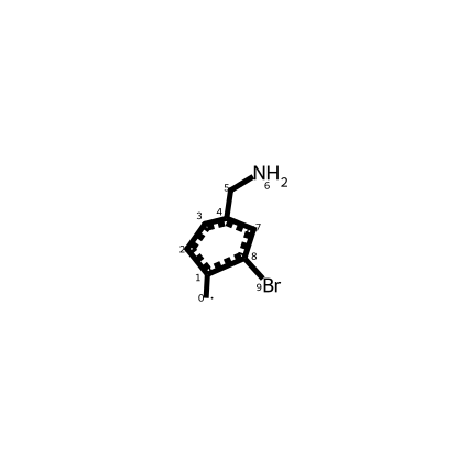 [CH2]c1ccc(CN)cc1Br